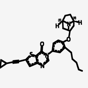 CCCCCc1cc(-n2cnc3cc(C#CC4CC4)sc3c2=O)ccc1OC1C[C@H]2CC[C@@H](C1)N2C